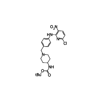 CC(C)(C)OC(=O)NC1CCN(Cc2ccc(Nc3nc(Cl)ccc3[N+](=O)[O-])cc2)CC1